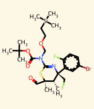 C[C@@H]1[C@@](C)(C=O)SC(N(COCC[Si](C)(C)C)C(=O)OC(C)(C)C)=N[C@]1(CF)c1cc(Br)ccc1F